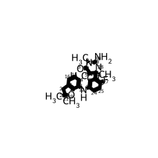 CN1C(=O)C(C)(C)[C@@](C)(c2cc(Nc3cccc4c3OC(C)(C)C4)ccc2F)N=C1N